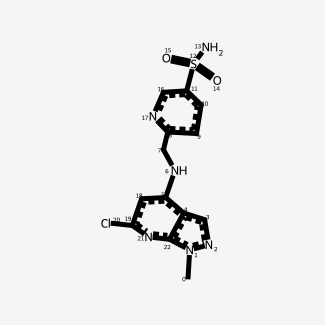 Cn1ncc2c(NCc3ccc(S(N)(=O)=O)cn3)cc(Cl)nc21